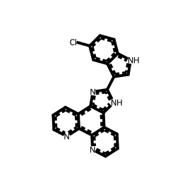 Clc1ccc2[nH]cc(-c3nc4c5cccnc5c5ncccc5c4[nH]3)c2c1